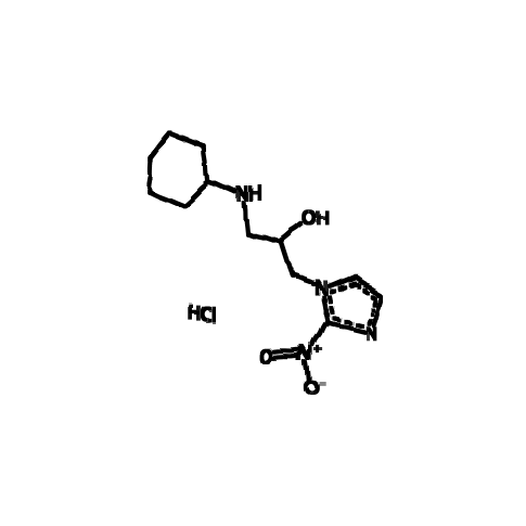 Cl.O=[N+]([O-])c1nccn1CC(O)CNC1CCCCC1